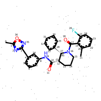 Cc1nc(-c2cccc(NC(=O)[C@H]3CCCN(C(=O)c4c(C)cccc4F)[C@H]3c3ccccc3)c2)no1